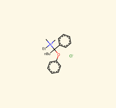 CCCCC(Oc1ccccc1)(c1ccccc1)[N+](C)(C)CC.[Cl-]